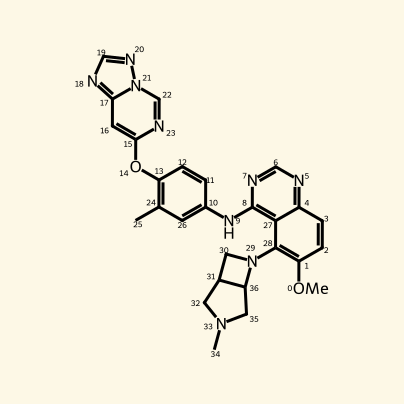 COc1ccc2ncnc(Nc3ccc(Oc4cc5ncnn5cn4)c(C)c3)c2c1N1CC2CN(C)CC21